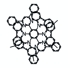 Cc1ccc2c(c1)c1cc(C)ccc1n2-c1c(-c2nc(-c3ccccc3)cc(-c3ccccc3)n2)c(-n2c3ccc(C)cc3c3cc(C)ccc32)c(-n2c3ccccc3c3ccccc32)c(-c2nc(-c3ccccc3)cc(-c3ccccc3)n2)c1-n1c2ccccc2c2ccccc21